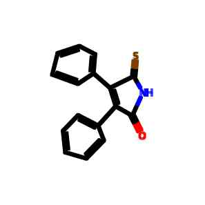 O=C1NC(=S)C(c2ccccc2)=C1c1ccccc1